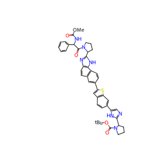 COC(=O)NC(C(=O)N1CCCC1c1nc2ccc3cc(-c4cc5ccc(-c6cnc(C7CCCN7C(=O)OC(C)(C)C)[nH]6)cc5s4)ccc3c2[nH]1)c1ccccc1